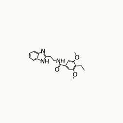 CCc1c(OC)cc(C(=O)NCCc2nc3ccccc3[nH]2)cc1OC